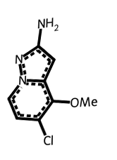 COc1c(Cl)ccn2nc(N)cc12